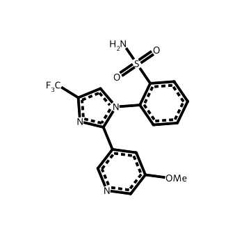 COc1cncc(-c2nc(C(F)(F)F)cn2-c2ccccc2S(N)(=O)=O)c1